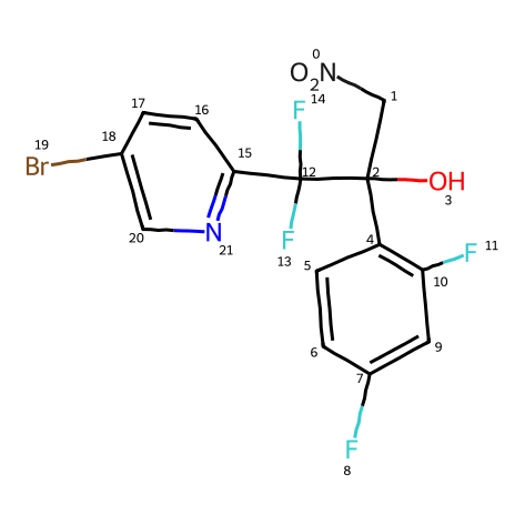 O=[N+]([O-])CC(O)(c1ccc(F)cc1F)C(F)(F)c1ccc(Br)cn1